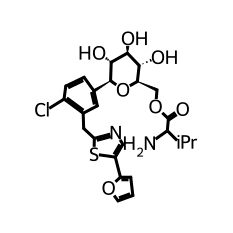 CC(C)C(N)C(=O)OC[C@H]1O[C@@H](c2ccc(Cl)c(Cc3ncc(-c4ccco4)s3)c2)[C@H](O)[C@@H](O)[C@@H]1O